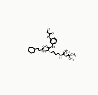 CC(C)(C)OC(=O)NCCCC[C@H](NC(=O)CCC1CCCCC1)C(=O)Nc1cccc(NC(=O)CCl)c1